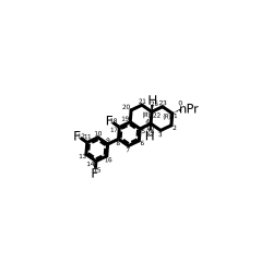 CCC[C@@H]1CC[C@@H]2c3ccc(-c4cc(F)cc(F)c4)c(F)c3CC[C@@H]2C1